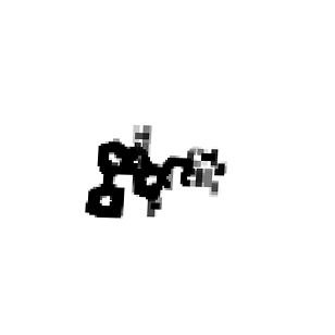 CC(C)Cc1nc(F)cc2c1[nH]c1cccc(-c3ccccc3)c12